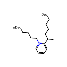 CCCCCCCCCCCCCCC(C)c1cccc[n+]1CCCCCCCCCCCCCC